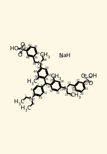 CCN(CC)c1ccc(C(c2ccc(N(CC)Cc3cccc(S(=O)(=O)O)c3)cc2C)c2ccc(N(CC)Cc3cccc(S(=O)(=O)O)c3)cc2C)cc1.[NaH]